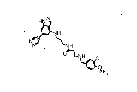 O=C(CCNCc1ccc(OC(F)(F)F)c(Cl)c1)NCCCNc1cc(-n2cnnc2)cc2[nH]ncc12